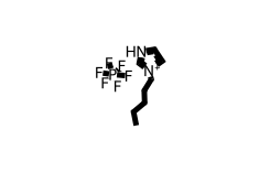 CCCCC[n+]1cc[nH]c1.F[P-](F)(F)(F)(F)F